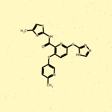 Cc1ccc(Sc2ccc(Sc3nnc[nH]3)nc2C(=O)Nc2nc(C)cs2)cn1